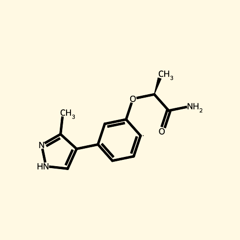 Cc1n[nH]cc1-c1cc[c]c(O[C@@H](C)C(N)=O)c1